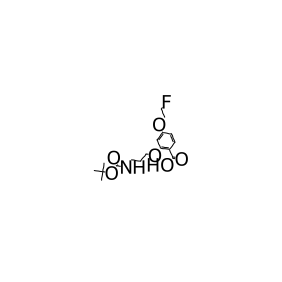 CC(C)(C)OC(=O)NCCCOc1cc(OCCF)ccc1C(=O)O